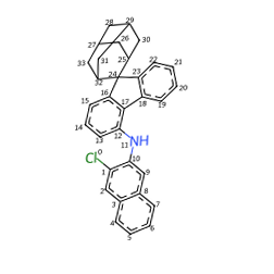 Clc1cc2ccccc2cc1Nc1cccc2c1-c1ccccc1C21C2CC3CC(C2)CC1C3